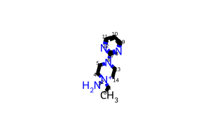 CC[N+]1(N)CCN(c2ncccn2)CC1